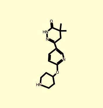 CC1(C)CC(c2ccc(OC3CCNCC3)nc2)=NNC1=O